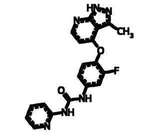 Cc1n[nH]c2nccc(Oc3ccc(NC(=O)Nc4ccccn4)cc3F)c12